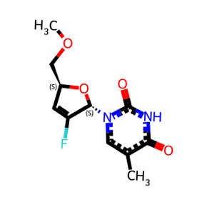 COC[C@@H]1C=C(F)[C@@H](n2cc(C)c(=O)[nH]c2=O)O1